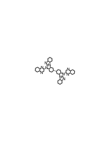 c1ccc2nc(-n3c4ccc(-c5ccc6c(c5)n5c7ccccc7nc5n6-c5cnc6ccccc6n5)cc4n4c5ccccc5nc34)cnc2c1